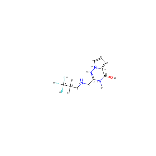 Cn1c(CNCC(C)(C)C(F)(F)F)nn2cccc2c1=O